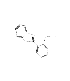 CCc1ccccc1-c1nc2ccccc2o1